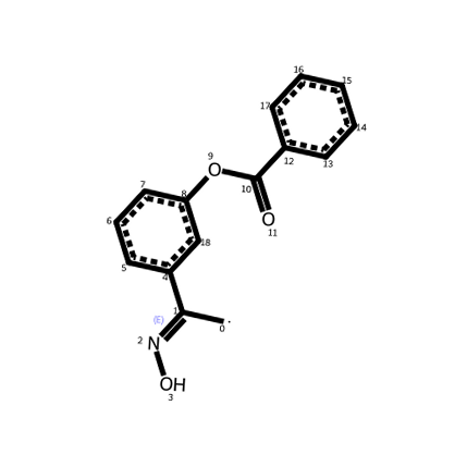 [CH2]/C(=N\O)c1cccc(OC(=O)c2ccccc2)c1